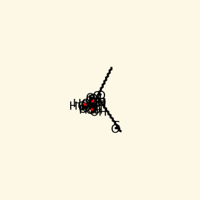 CCCCCCCCCCCCCCCC(=O)O[C@@H](COP(=O)(O)OC1C(O)[C@H](OP(=O)(O)O)C(O)[C@H](OP(=O)(O)O)[C@@H]1O)CC(=O)OCCCCCCCCCCCCCSC(=O)CCC